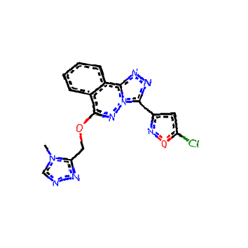 Cn1cnnc1COc1nn2c(-c3cc(Cl)on3)nnc2c2ccccc12